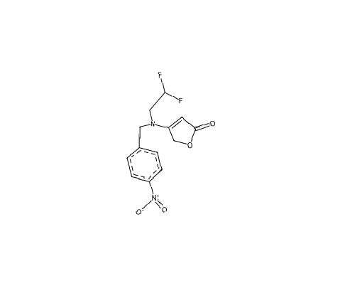 O=C1C=C(N(Cc2ccc([N+](=O)[O-])cc2)CC(F)F)CO1